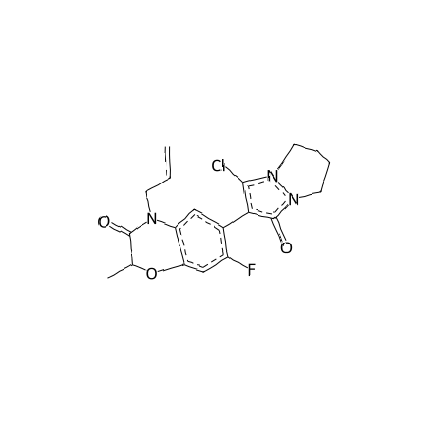 C=CCN1C(=O)C(C)Oc2cc(F)c(-c3c(Cl)n4n(c3=O)CCCC4)cc21